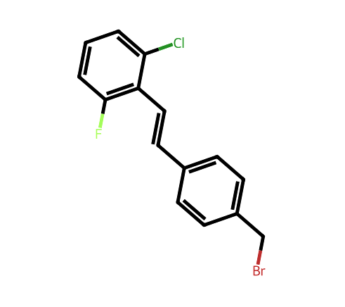 Fc1cccc(Cl)c1/C=C/c1ccc(CBr)cc1